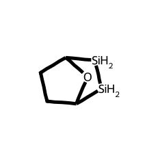 C1CC2OC1[SiH2][SiH2]2